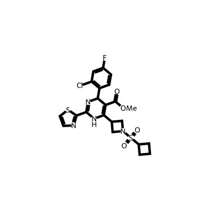 COC(=O)C1=C(C2CN(S(=O)(=O)C3CCC3)C2)NC(c2nccs2)=NC1c1ccc(F)cc1Cl